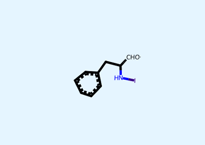 O=[C]C(Cc1ccccc1)NI